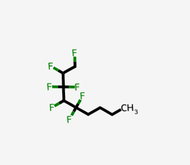 CCCCC(F)(F)C(F)C(F)(F)C(F)CF